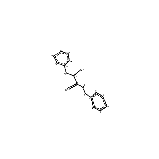 O=C(OCc1ccccc1)C(Cl)Cc1ccccc1